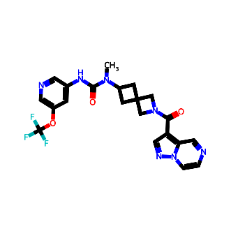 CN(C(=O)Nc1cncc(OC(F)(F)F)c1)C1CC2(C1)CN(C(=O)c1cnn3ccncc13)C2